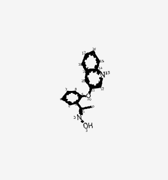 C/C(=N\O)c1ccccc1Oc1cnc2ccccc2c1